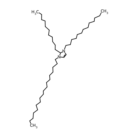 CCCCCCCCCCCCCCCCCCN1C=CN(CCCCCCCCCCCCC)C1CCCCCCCCCCC